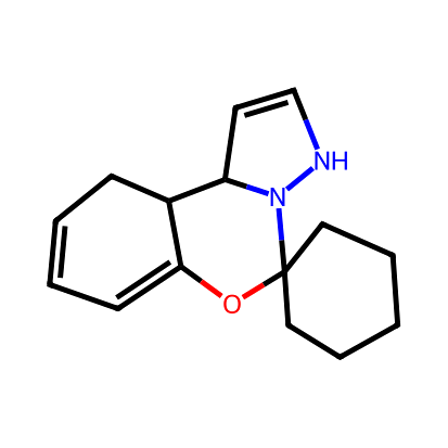 C1=CCC2C(=C1)OC1(CCCCC1)N1NC=CC21